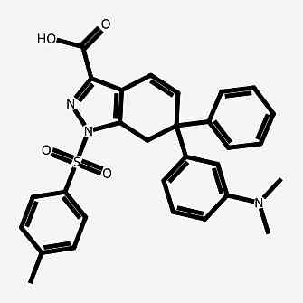 Cc1ccc(S(=O)(=O)n2nc(C(=O)O)c3c2CC(c2ccccc2)(c2cccc(N(C)C)c2)C=C3)cc1